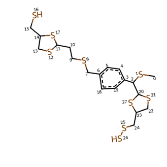 CSC(c1ccc(CSCCC2SCC(CS)S2)cc1)C1SCC(CSS)S1